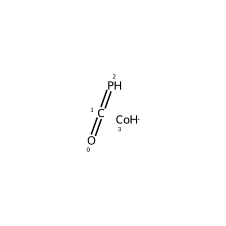 O=C=P.[CoH]